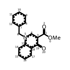 COC(=O)c1cn(Cc2ccccc2)c2ccccc2c1=O